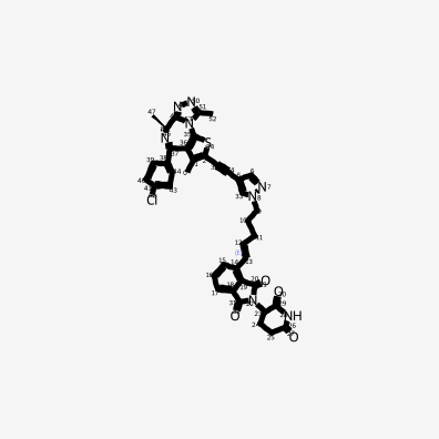 Cc1c(C#Cc2cnn(CCC/C=C/c3cccc4c3C(=O)N(C3CCC(=O)NC3=O)C4=O)c2)sc2c1C(c1ccc(Cl)cc1)=N[C@@H](C)c1nnc(C)n1-2